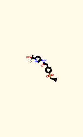 CC(O)(c1ccc(NC(=O)Cc2ccc(S(=O)(=O)CC3CC3)cc2)cn1)C(F)(F)F